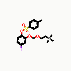 Cc1ccc(S(=O)(=O)Oc2ccc(I)cc2OCOCC[Si](C)(C)C)cc1